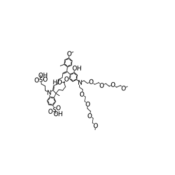 COCCOCCOCCOCCN(CCOCCOCCOCCOC)c1ccc(/C(=C\C/C=C/C=C2/N(CCCS(=O)(=O)O)c3ccc(S(=O)(=O)O)cc3C2(C)CCCC(=O)O)c2ccc(OC)cc2C)c(O)c1